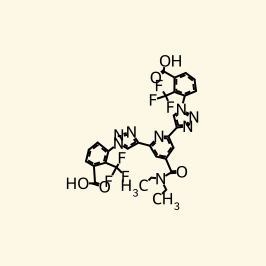 CCN(CC)C(=O)c1cc(-c2cn(-c3cccc(C(=O)O)c3C(F)(F)F)nn2)nc(-c2cn(-c3cccc(C(=O)O)c3C(F)(F)F)nn2)c1